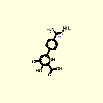 N/N=C(\N)c1ccc(-c2cc(=O)c(O)c(C(=O)O)[nH]2)cc1